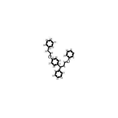 [c]1ccc(OCCC(c2ccccc2)c2ccc(OCCc3ccccc3)cc2)cc1